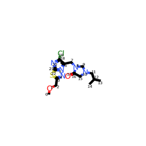 COCc1nn2c(CN3CN(CC(C)C)CC3=O)c(Cl)nc2s1